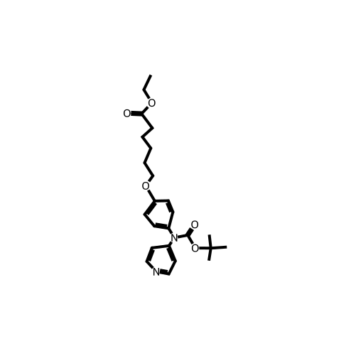 CCOC(=O)CCCCCOc1ccc(N(C(=O)OC(C)(C)C)c2ccncc2)cc1